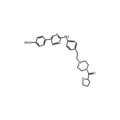 COc1ccc(-c2cnc(Nc3ccc(CCN4CCN(C(=O)C5CCCO5)CC4)cc3)nc2)cc1